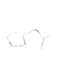 CC(C)C[SiH]1CCCC1